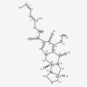 C/C=C\C=C(/C)CNC(=O)c1cn2c(c(OP)c1=O)C(=O)N1C[C@H]3CCCN3[C@@H]1C2